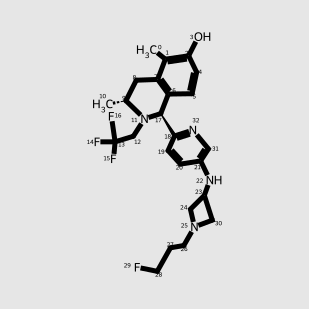 Cc1c(O)ccc2c1C[C@@H](C)N(CC(F)(F)F)[C@@H]2c1ccc(NC2CN(CCCF)C2)cn1